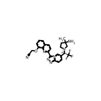 CC1(N)CCN([C@H](c2ccc3nnc(-c4ccc5cccc(OCC#N)c5n4)n3c2)C(F)(F)F)C1